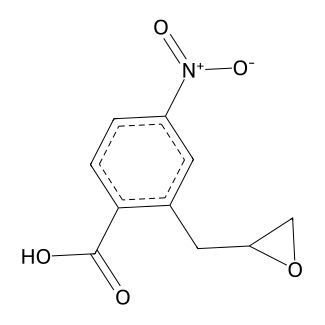 O=C(O)c1ccc([N+](=O)[O-])cc1CC1CO1